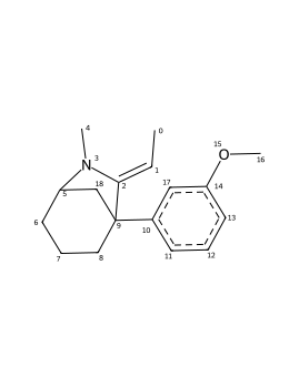 CC=C1N(C)C2CCCC1(c1cccc(OC)c1)C2